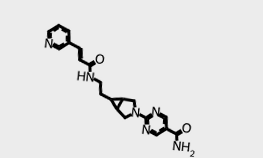 NC(=O)c1cnc(N2CC3C(CCNC(=O)/C=C/c4cccnc4)C3C2)nc1